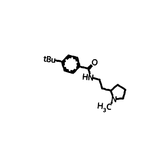 CN1CCCC1CCNC(=O)c1ccc(C(C)(C)C)cc1